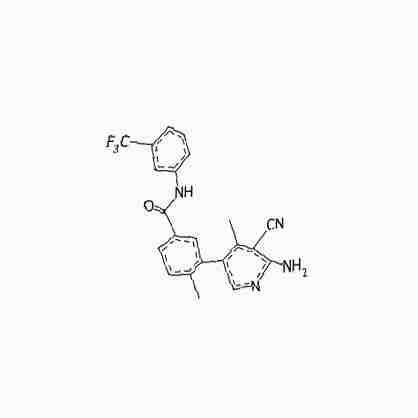 Cc1ccc(C(=O)Nc2cccc(C(F)(F)F)c2)cc1-c1cnc(N)c(C#N)c1C